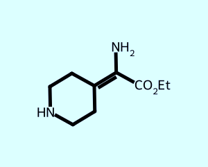 CCOC(=O)C(N)=C1CCNCC1